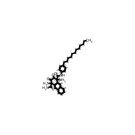 CCCCCCCCCCCCc1ccc(NC(=O)C2(N)C(=O)C(=O)C(N)(C(N)=O)c3cc4ccccc4cc32)cc1